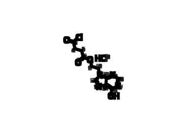 Cl.O=C(Cl)CCC(=O)OCCn1cnc2c(O)ncnc21